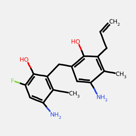 C=CCc1c(C)c(N)cc(Cc2c(C)c(N)cc(F)c2O)c1O